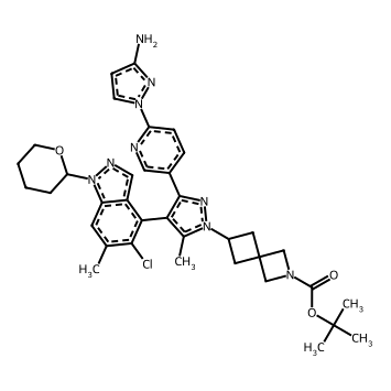 Cc1cc2c(cnn2C2CCCCO2)c(-c2c(-c3ccc(-n4ccc(N)n4)nc3)nn(C3CC4(C3)CN(C(=O)OC(C)(C)C)C4)c2C)c1Cl